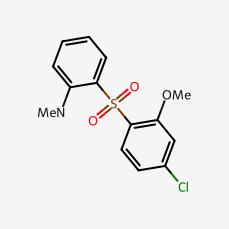 CNc1ccccc1S(=O)(=O)c1ccc(Cl)cc1OC